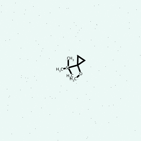 COC1([Si](C)(C)C)CC1